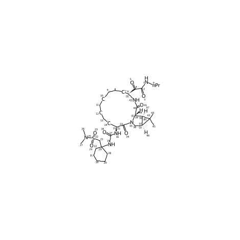 CCCNC(=O)C(=O)[C@@H]1CCCCCCCC[C@H](NC(=O)NC2(CS(=O)(=O)N(C)C)CCCCC2)C(=O)N2C[C@H]3[C@@H]([C@H]2C(=O)N1)C3(C)C